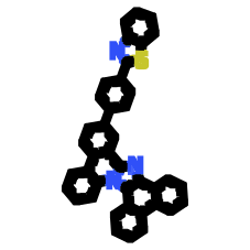 c1ccc2sc(-c3ccc(-c4ccc5c6ccccc6n6c(nc7c8ccccc8c8ccccc8c76)c5c4)cc3)nc2c1